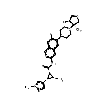 C[C@@H]1[C@H](C(=O)Nc2cc3cc(N4CCN([C@]5(C)COC[C@@H]5F)CC4)c(Cl)cc3cn2)[C@H]1c1cnn(C)c1